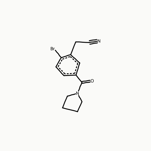 N#CCc1cc(C(=O)N2CCCC2)ccc1Br